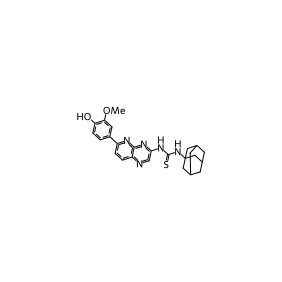 COc1cc(-c2ccc3ncc(NC(=S)NC45CC6CC(CC(C6)C4)C5)nc3n2)ccc1O